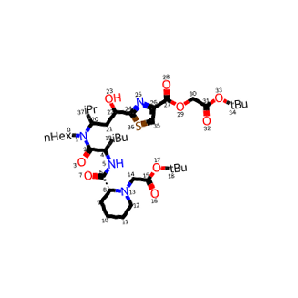 CCCCCCN(C(=O)C(NC(=O)[C@H]1CCCCN1CC(=O)OC(C)(C)C)C(C)CC)C(CC(O)c1nc(C(=O)OCC(=O)OC(C)(C)C)cs1)C(C)C